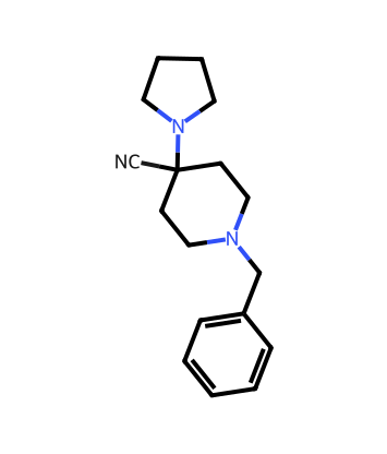 N#CC1(N2CCCC2)CCN(Cc2ccccc2)CC1